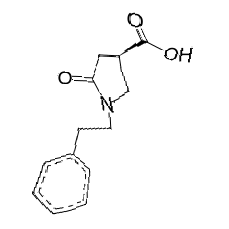 O=C(O)[C@@H]1CC(=O)N(CCc2ccccc2)C1